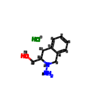 Cl.NN1Cc2ccccc2CC1CO